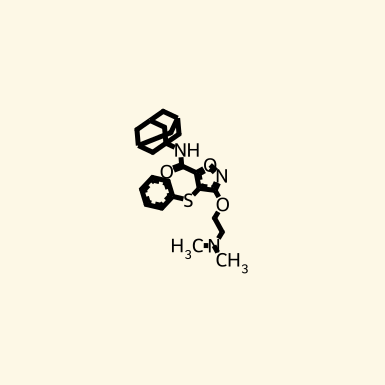 CN(C)CCOc1noc(C(=O)NC23CC4CC(CC(C4)C2)C3)c1Sc1ccccc1